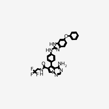 Nc1ncnn2cc(C(=O)NCC(F)(F)F)c(-c3ccc(Nc4nc5ccc(Oc6ccccc6)cc5[nH]4)cc3)c12